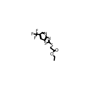 CCOC(=O)CSc1nc2ncc(C(F)(F)F)cc2s1